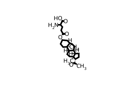 CC(=O)[C@H]1CC[C@H]2[C@@H]3CC[C@@H]4C[C@H](OC(=O)CCC(N)C(=O)O)CC[C@]4(C)[C@H]3CC[C@]12C